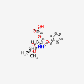 CC(C)(C)OC(=O)N[C@@](C)(COCC(=O)O)COCc1ccccc1